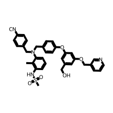 [C-]#[N+]c1ccc(CN(Cc2ccc(Oc3cc(CO)cc(OCc4cccnc4)c3)cc2)c2cccc(NS(C)(=O)=O)c2C)cc1